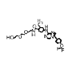 Cc1cc(Nc2nccn3c(-c4ccc(OC(F)F)cc4)cnc23)ccc1C(=O)NCCOCCOCCO